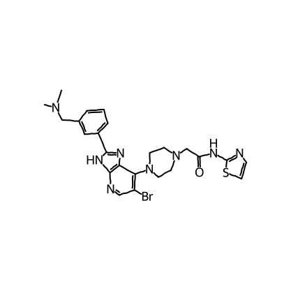 CN(C)Cc1cccc(-c2nc3c(N4CCN(CC(=O)Nc5nccs5)CC4)c(Br)cnc3[nH]2)c1